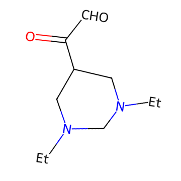 CCN1CC(C(=O)C=O)CN(CC)C1